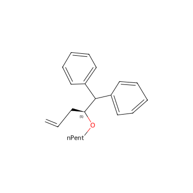 C=CC[C@H](OCCCCC)C(c1ccccc1)c1ccccc1